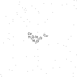 O.O.O.[Cu].[Cu]